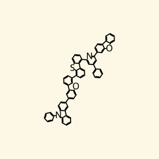 c1ccc(-c2cc(-c3ccc4c(c3)oc3ccccc34)nc(-c3cccc4sc5c(-c6cccc7c6oc6ccc(-c8ccc9c(c8)c8ccccc8n9-c8ccccc8)cc67)cccc5c34)c2)cc1